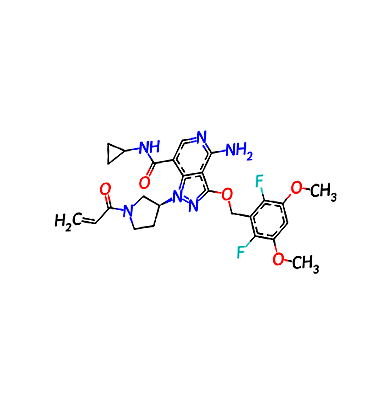 C=CC(=O)N1CC[C@H](n2nc(OCc3c(F)c(OC)cc(OC)c3F)c3c(N)ncc(C(=O)NC4CC4)c32)C1